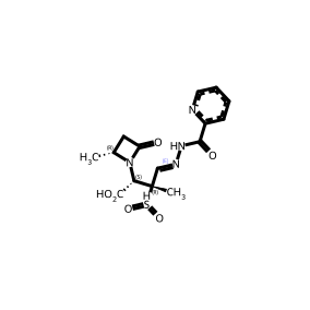 C[C@@H]1CC(=O)N1[C@@H](C(=O)O)[C@](C)(/C=N/NC(=O)c1ccccn1)[SH](=O)=O